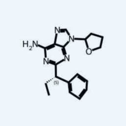 CC[C@@H](c1ccccc1)c1nc(N)c2ncn(C3CCCO3)c2n1